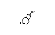 CC(C)N1CC2CCNCCC2C1